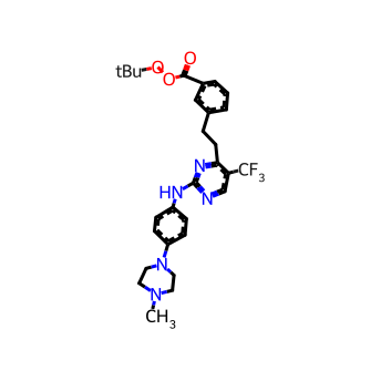 CN1CCN(c2ccc(Nc3ncc(C(F)(F)F)c(CCc4cccc(C(=O)OOC(C)(C)C)c4)n3)cc2)CC1